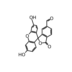 O=Cc1ccc2c(c1)C1(OC2=O)c2ccc(O)cc2Oc2cc(O)ccc21